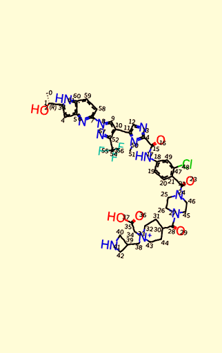 C[C@@H](O)c1cc2nc(-n3cc(-c4cnc(C(=O)Nc5ccc(C(=O)N6CCN(C(=O)C7CC[N+](CC(=O)O)(CC8CNC8)CC7)CC6)c(Cl)c5)n4C)c(C(F)(F)F)n3)ccc2[nH]1